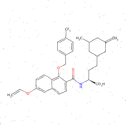 C=COc1ccc2c(OCc3ccc(C(F)(F)F)cc3)c(C(=O)N[C@@H](CCC3CC(=C)CC(C)C3)C(=O)O)ccc2c1